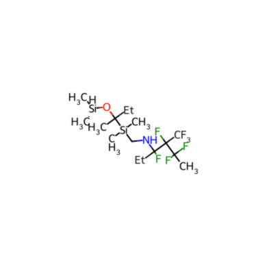 CCC(F)(NC[Si](C)(C)C(C)(CC)O[SiH](C)C)C(F)(C(C)(F)F)C(F)(F)F